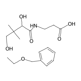 CC(C)(CO)C(O)C(=O)NCCC(=O)O.CCOCc1ccccc1